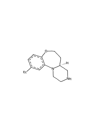 CCc1ccc2c(c1)N1CCNC[C@@H]1CCO2